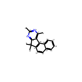 Cc1nc(C)c2c(n1)C(C)(C)c1ccc3ccccc3c1-2